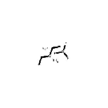 CCOCC.FB(F)F.[BH4-].[Na+]